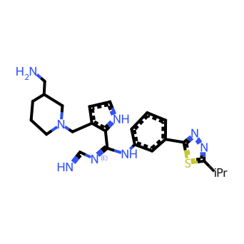 CC(C)c1nnc(-c2cccc(N/C(=N/C=N)c3[nH]ccc3CN3CCCC(CN)C3)c2)s1